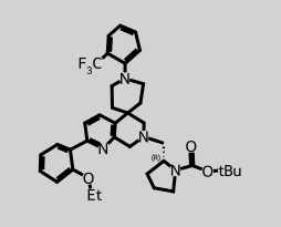 CCOc1ccccc1-c1ccc2c(n1)CN(C[C@H]1CCCN1C(=O)OC(C)(C)C)CC21CCN(c2ccccc2C(F)(F)F)CC1